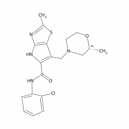 Cc1nc2[nH]c(C(=O)Nc3ccccc3Cl)c(CN3CCO[C@H](C)C3)c2s1